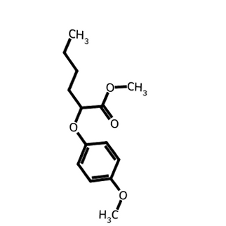 CCCCC(Oc1ccc(OC)cc1)C(=O)OC